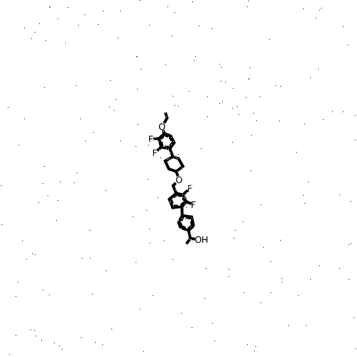 CCOc1ccc(C2CCC(OCc3ccc(-c4ccc(C(C)O)cc4)c(F)c3F)CC2)c(F)c1F